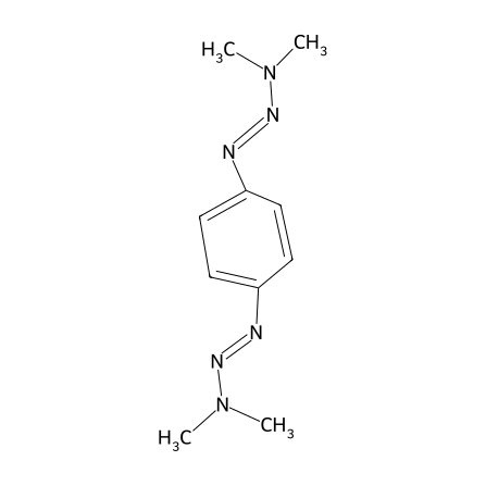 CN(C)/N=N/c1ccc(/N=N/N(C)C)cc1